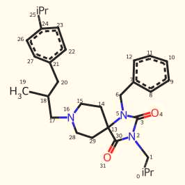 CC(C)CN1C(=O)N(Cc2ccccc2)C2(CCN(CC(C)Cc3ccc(C(C)C)cc3)CC2)C1=O